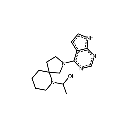 CC(O)N1CCCCC12CCN(c1ncnc3[nH]ccc13)C2